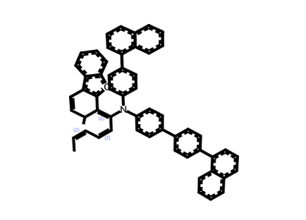 C\C=C/C=C\C(=C1\c2oc3ccccc3c2C=CC1C)N(c1ccc(-c2ccc(-c3cccc4ccccc34)cc2)cc1)c1ccc(-c2cccc3ccccc23)cc1